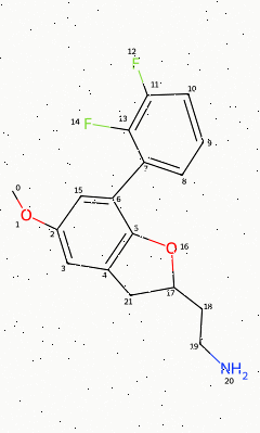 COc1cc2c(c(-c3cccc(F)c3F)c1)OC(CCN)C2